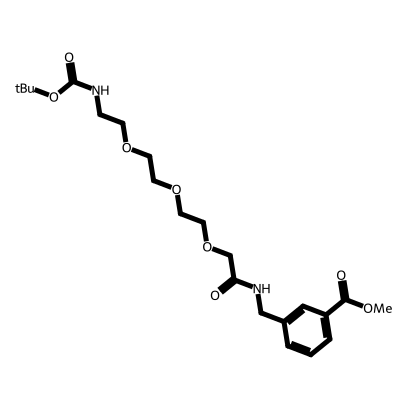 COC(=O)c1cccc(CNC(=O)COCCOCCOCCNC(=O)OC(C)(C)C)c1